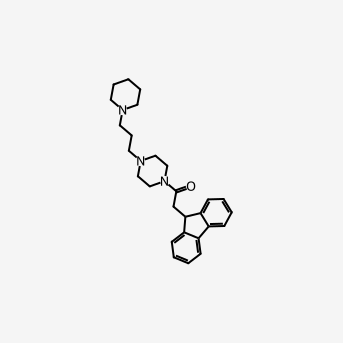 O=C(CC1c2ccccc2-c2ccccc21)N1CCN(CCCN2CCCCC2)CC1